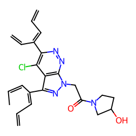 C=C/C=C(\C=C)c1nnc2c(c(C(/C=C\C)=C/C=C)nn2CC(=O)N2CCC(O)C2)c1Cl